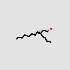 CCCCCCC/C=C(/CCO)CCCC